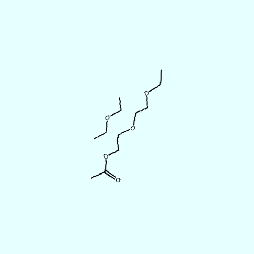 CCOCC.CCOCCOCCOC(C)=O